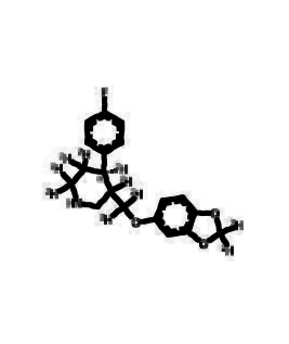 [2H]C1([2H])Oc2ccc(OC([2H])([2H])C3([2H])CNC([2H])([2H])C([2H])([2H])[C@@]3([2H])c3ccc(F)cc3)cc2O1